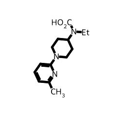 CCN(C(=O)O)C1CCN(c2cccc(C)n2)CC1